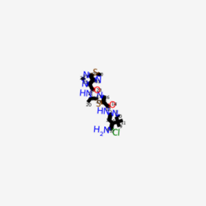 C=N/C(=C\C(=C(/N)Cl)C(C)(C)C)NC(=O)c1cnc(C(C)NC(=O)c2ncnc3scnc23)s1